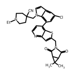 CCN1CCC(C#N)(Cn2ccc3cc(Cl)cc(-c4ccnc5cc(CN6C(=O)C7C(C6=O)C7(C)C)sc45)c32)CC1